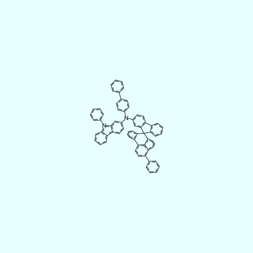 c1ccc(-c2ccc(N(c3ccc4c(c3)C3(c5ccccc5-4)c4ccccc4-c4ccc(-c5ccccc5)c5cccc3c45)c3ccc4c5ccccc5n(-c5ccccc5)c4c3)cc2)cc1